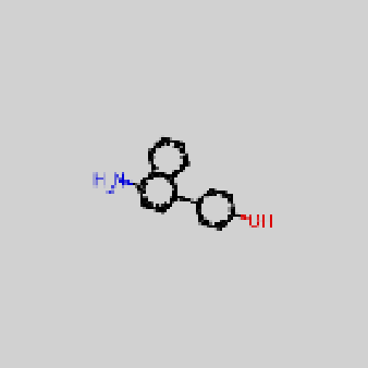 Nc1ccc(-c2ccc(O)cc2)c2ccccc12